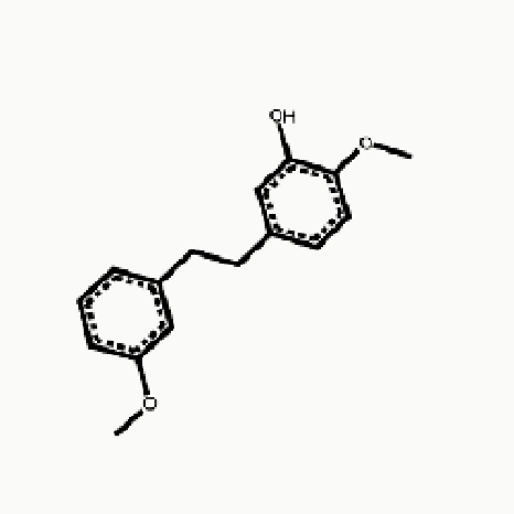 COc1cccc(CCc2ccc(OC)c(O)c2)c1